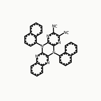 [C-]#[N+]c1nc2c(nc1[N+]#[C-])N(c1cccc3ccccc13)c1nc3ccccc3nc1N2c1cccc2ccccc12